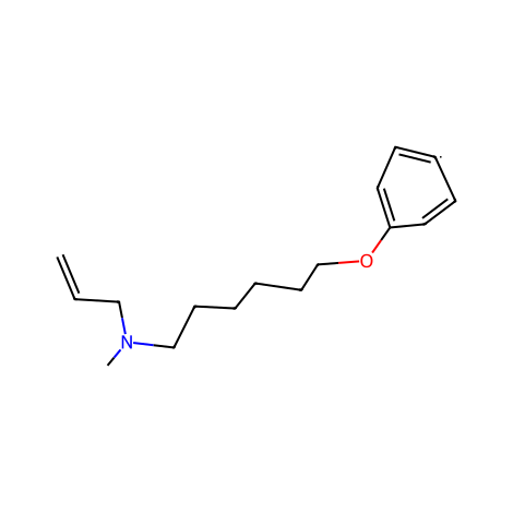 C=CCN(C)CCCCCCOc1cc[c]cc1